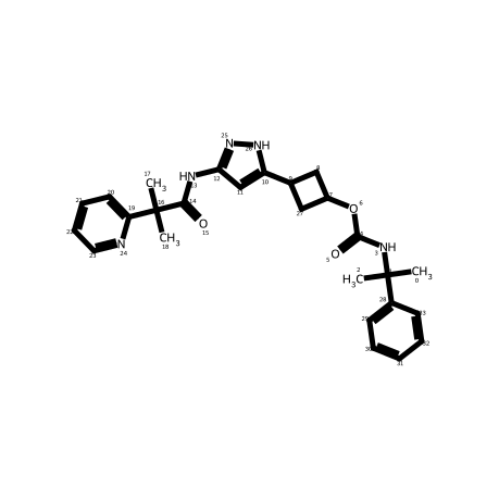 CC(C)(NC(=O)OC1CC(c2cc(NC(=O)C(C)(C)c3ccccn3)n[nH]2)C1)c1ccccc1